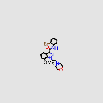 COc1cccc2c(C(=O)Nc3ccccc3Br)nn(CCN3CCOCC3)c12